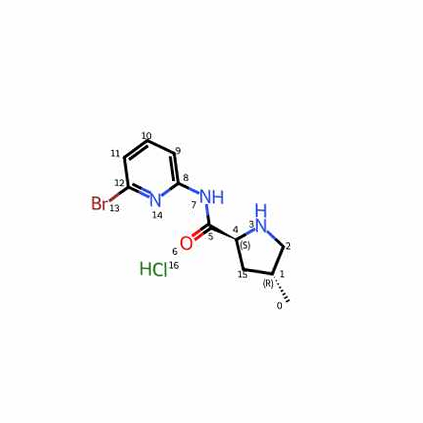 C[C@H]1CN[C@H](C(=O)Nc2cccc(Br)n2)C1.Cl